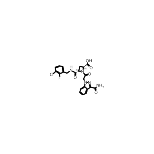 NC(=O)c1nn(CC(=O)N2[C@H](C(=O)O)C[C@H]2C(=O)NCc2cccc(Cl)c2F)c2ccccc12